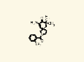 CC1(C)C[C@@]2(C=C(N)C1=O)CCN(C(=O)c1ccccc1C(F)(F)F)C2